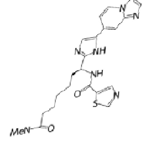 CNC(=O)CCCCC[C@H](NC(=O)c1cncs1)c1ncc(-c2ccn3ncnc3c2)[nH]1